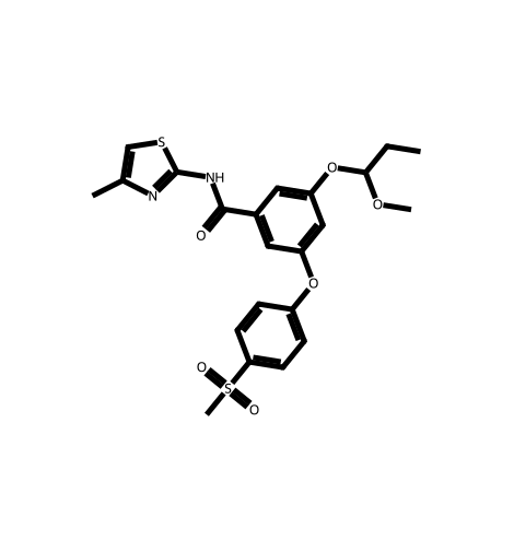 CCC(OC)Oc1cc(Oc2ccc(S(C)(=O)=O)cc2)cc(C(=O)Nc2nc(C)cs2)c1